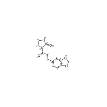 O=C(C=Cc1ccc2c(c1)OCO2)N1CCOC1=O